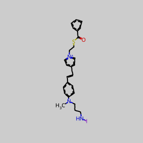 CN(CCCNI)c1ccc(/C=C/c2cc[n+](CCSC(=O)c3ccccc3)cc2)cc1